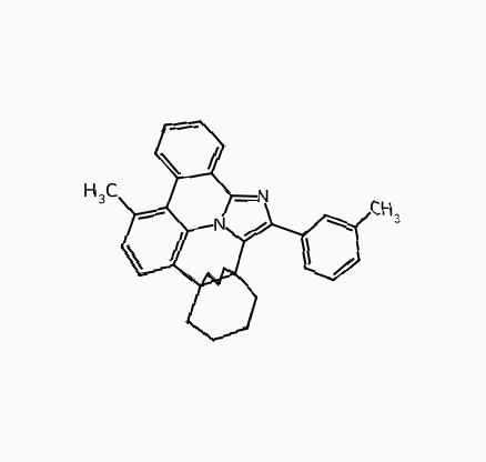 Cc1cccc(-c2nc3c4ccccc4c4c(C)ccc5c4n3c2C23CCCCC52CCC3)c1